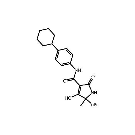 CCCC1(C)NC(=O)C(C(=O)Nc2ccc(C3CCCCC3)cc2)=C1O